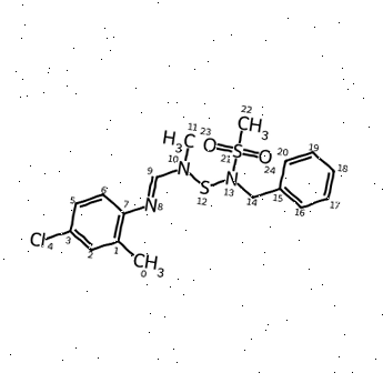 Cc1cc(Cl)ccc1N=CN(C)SN(Cc1ccccc1)S(C)(=O)=O